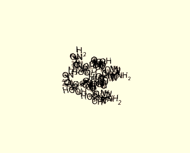 NC(=O)C1=CN([C@@H]2O[C@H](COP(=O)(O)OP(=O)(O)OC[C@H]3O[C@@H](n4cnc5c(N)ncnc54)[C@H](O)[C@@H]3O)[C@@H](O)[C@H]2O)C=CC1.NC(=O)C1=CN([C@@H]2O[C@H](COP(=O)(O)OP(=O)(O)OC[C@H]3O[C@@H](n4cnc5c(N)ncnc54)[C@H](OP(=O)(O)O)[C@@H]3O)[C@@H](O)[C@H]2O)C=CC1